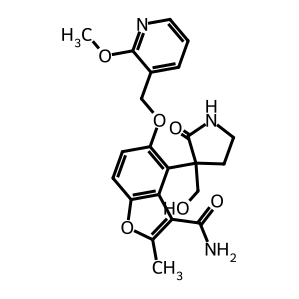 COc1ncccc1COc1ccc2oc(C)c(C(N)=O)c2c1C1(CO)CCNC1=O